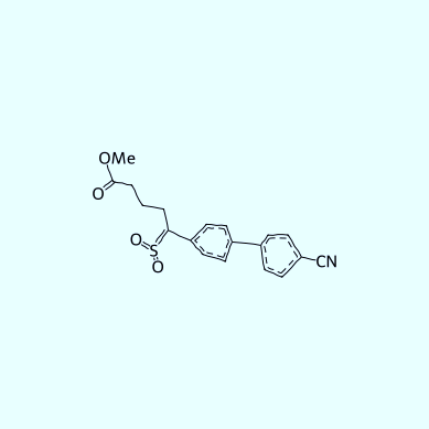 COC(=O)CCCC(c1ccc(-c2ccc(C#N)cc2)cc1)=S(=O)=O